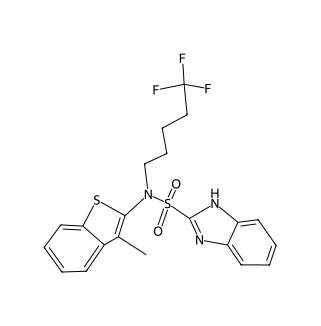 Cc1c(N(CCCCC(F)(F)F)S(=O)(=O)c2nc3ccccc3[nH]2)sc2ccccc12